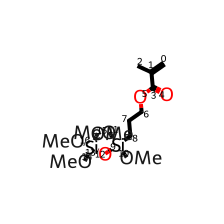 C=C(C)C(=O)OCCC[Si](OC)(OC)O[Si](OC)(OC)OC